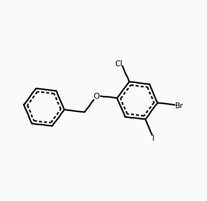 Clc1cc(Br)c(I)cc1OCc1ccccc1